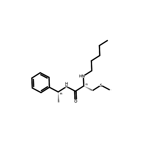 [CH2]SC[C@@H](NCCCCC)C(=O)N[C@H](C)c1ccccc1